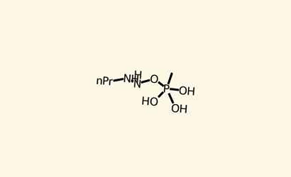 CCCNNOP(C)(O)(O)O